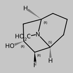 O=C(O)N1[C@@H]2CCC[C@H]1[C@@H](F)[C@H](O)C2